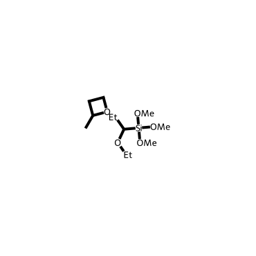 CC1CCO1.CCOC(CC)[Si](OC)(OC)OC